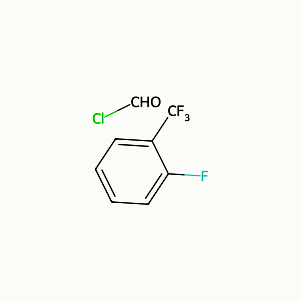 Fc1ccccc1C(F)(F)F.O=CCl